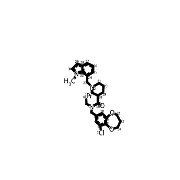 CC(C)CN(Cc1cc(Cl)c2c(c1)OCCCO2)C(=O)C1CCCN(Cc2cccc3ccn(C)c23)C1